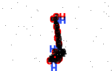 O=C(O)NCCOCCOCCOCCOCCNc1cccc2c1C(=O)N([C@H]1CCC(=O)NC1=O)C2=O